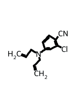 C=CCN(CC=C)c1ccc(C#N)c(Cl)c1